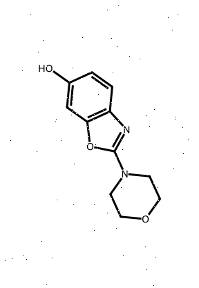 Oc1ccc2nc(N3CCOCC3)oc2c1